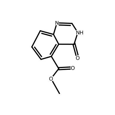 COC(=O)c1cccc2nc[nH]c(=O)c12